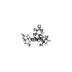 C=C1CN2CC(F)CC2(COc2nc(N3C[C@H]4CC[C@@H](C3)N4C(=O)OC(C)(C)C)c3cnc(Cl)c(F)c3n2)C1